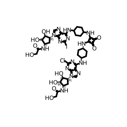 O=C(CO)N[C@H]1C[C@@H](n2cnc3c(NC4CCC(Nc5c(N[C@H]6CC[C@H](Nc7nc(Cl)nc8c7ncn8[C@@H]7C[C@H](NC(=O)CO)[C@@H](O)[C@H]7O)CC6)c(=O)c5=O)CC4)nc(I)nc32)[C@H](O)[C@@H]1O